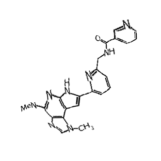 CNc1nc2[nH]c(-c3cccc(CNC(=O)c4cccnc4)n3)cc2c2c1ncn2C